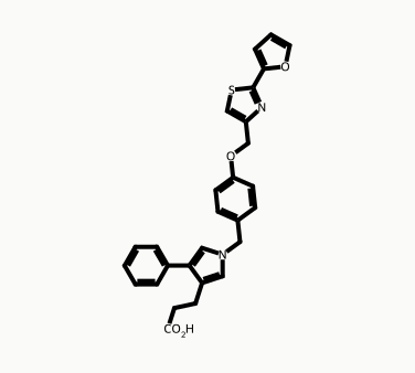 O=C(O)CCc1cn(Cc2ccc(OCc3csc(-c4ccco4)n3)cc2)cc1-c1ccccc1